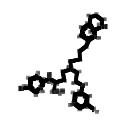 O=C(O)[C@H](CCN(CCCCc1ccc2c(n1)NCCC2)CCOc1cncc(F)c1)Nc1ncc(Br)cn1